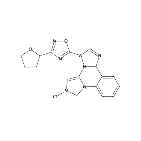 ClN1C=C2N(C1)c1ccccc1C1N=CN(c3nc(C4CCCO4)no3)N21